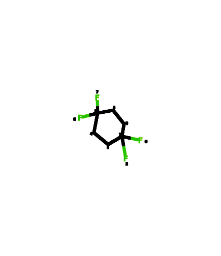 FC1(F)CCC(F)(F)CC1